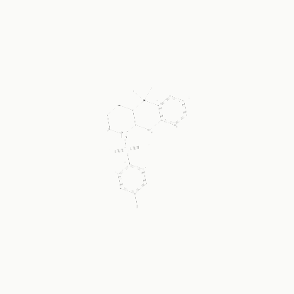 Cc1ccc(S(=O)(=O)N2CCCC3C2Cc2ccccc2C3(C)C)cc1